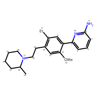 CCc1cc(-c2cccc(N)n2)c(OC)cc1CCN1CCCCC1C